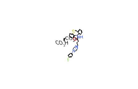 O=C(CCCN1CCN(c2ccc(F)cc2)CC1)NC1c2ccccc2CSc2ccccc21.O=C(O)/C=C\C(=O)O